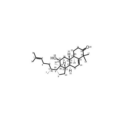 CC(C)=CCC[C@@H](C)[C@H]1CC[C@H]2[C@@H]3CC=C4C(C)(C)C(=O)CC[C@]4(C)[C@H]3C[C@H](O)[C@]12C